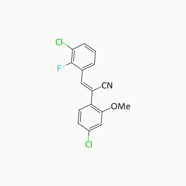 COc1cc(Cl)ccc1/C(C#N)=C/c1cccc(Cl)c1F